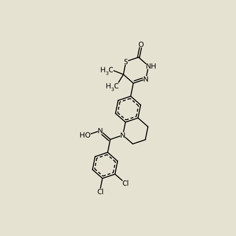 CC1(C)SC(=O)NN=C1c1ccc2c(c1)CCCN2C(=NO)c1ccc(Cl)c(Cl)c1